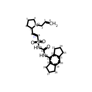 C=CCN1CCCC1/C=C/S(=O)(=O)NC(=O)Nc1c2c(cc3c1CCC3)CCC2